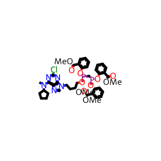 COC(=O)c1ccccc1OP(CP(Oc1ccccc1C(=O)OC)Oc1ccccc1C(=O)OC)OCC(CCn1cnc2c(N(C)C3CCCC3)nc(Cl)nc21)OC